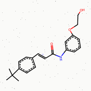 CC(C)(C)c1ccc(/C=C/C(=O)Nc2cccc(OCCO)c2)cc1